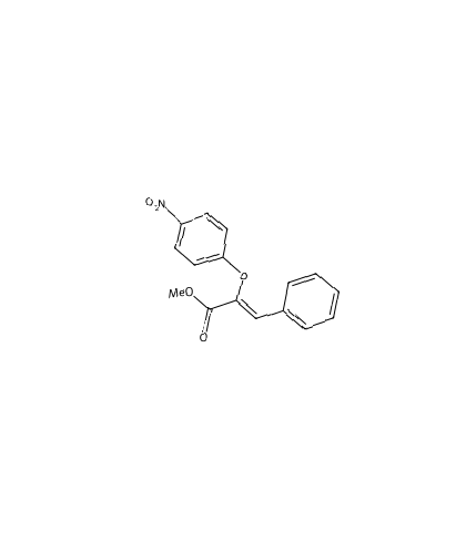 COC(=O)C(=Cc1ccccc1)Oc1ccc([N+](=O)[O-])cc1